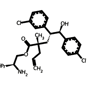 C=CC[C@@](C)(C[C@H](c1cccc(Cl)c1)[C@@H](O)c1ccc(Cl)cc1)C(=O)OC[C@@H](N)C(C)C